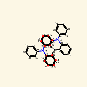 c1ccc(B(c2ccccc2N(c2ccccc2)c2ccccc2)c2ccccc2N(c2ccccc2)c2ccccc2)cc1